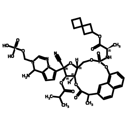 CC(C)C(=O)O[C@@H]1[C@@H]2OC(=O)C(C)c3ccc4cccc(c4c3)OP(=O)(N[C@@H](C)C(=O)OC3CC4(CCC4)C3)OC[C@H]2O[C@@]1(C#N)c1ccc2n1N=CN(COP(=O)(O)O)C2N